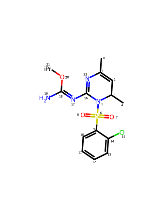 CC1=CC(C)N(S(=O)(=O)c2ccccc2Cl)C(N=C(N)OC(C)C)=N1